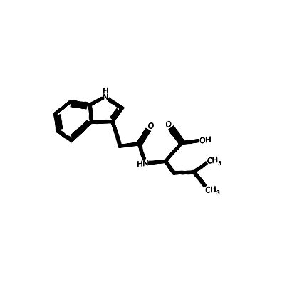 CC(C)CC(NC(=O)Cc1c[nH]c2ccccc12)C(=O)O